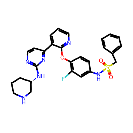 O=S(=O)(Cc1ccccc1)Nc1ccc(Oc2ncccc2-c2ccnc(N[C@H]3CCCNC3)n2)c(F)c1